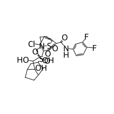 O=C(Nc1ccc(F)c(F)c1)c1ccc(Cl)c(S(=O)(=O)[C@H]2CC3CCC(C2)[C@]3(O)C(O)C(O)CN2CCCS2(=O)=O)c1